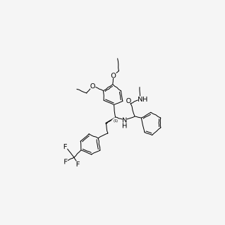 CCOc1ccc([C@H](CCc2ccc(C(F)(F)F)cc2)NC(C(=O)NC)c2ccccc2)cc1OCC